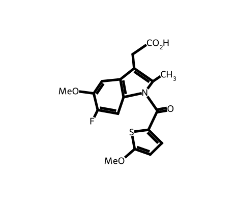 COc1ccc(C(=O)n2c(C)c(CC(=O)O)c3cc(OC)c(F)cc32)s1